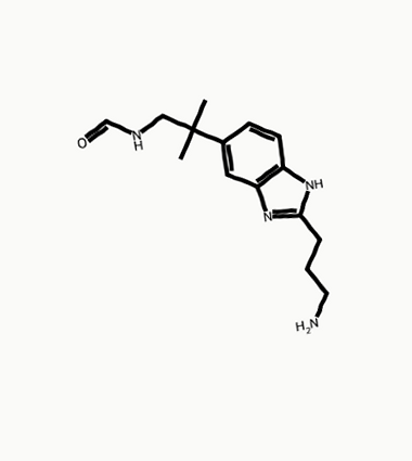 CC(C)(CNC=O)c1ccc2[nH]c(CCCN)nc2c1